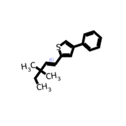 CCC(C)(C)/C=C/c1cc(-c2ccccc2)cs1